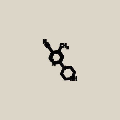 Cc1cc(N2CCNCC2)ncc1C#N